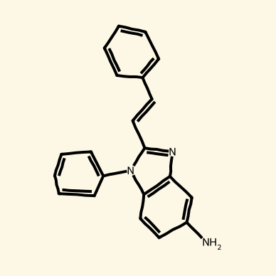 Nc1ccc2c(c1)nc(C=Cc1ccccc1)n2-c1ccccc1